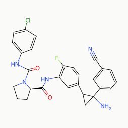 N#Cc1cccc(C2(N)CC2c2ccc(F)c(NC(=O)[C@H]3CCCN3C(=O)Nc3ccc(Cl)cc3)c2)c1